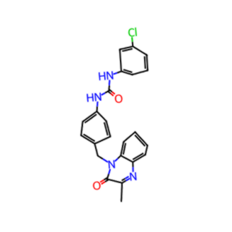 Cc1nc2ccccc2n(Cc2ccc(NC(=O)Nc3cccc(Cl)c3)cc2)c1=O